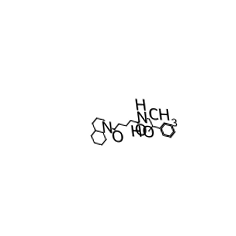 CC(NC(=O)CCCC(=O)N1CCCC2CCCCC21)C(O)c1ccccc1